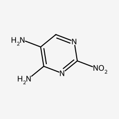 Nc1cnc([N+](=O)[O-])nc1N